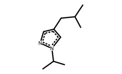 CC(C)Cc1cnn(C(C)C)c1